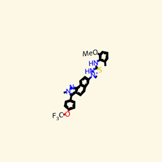 C=[N+](NC(=S)Nc1c(C)cccc1OC)c1ccc2c(ccc3c(-c4ccc(OC(F)(F)F)cc4)n(C)nc32)c1